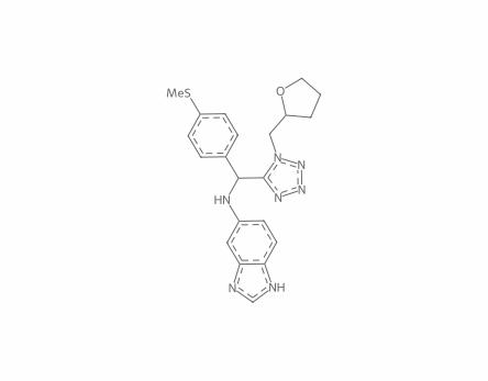 CSc1ccc(C(Nc2ccc3[nH]cnc3c2)c2nnnn2CC2CCCO2)cc1